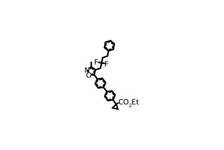 CCOC(=O)C1(c2ccc(-c3ccc(-c4onc(C)c4CC(F)(F)CCc4ccccc4)cc3)cc2)CC1